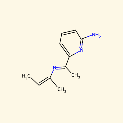 C/C=C(C)\N=C(/C)c1cccc(N)n1